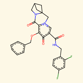 O=C(NCc1ccc(F)cc1F)c1cn2c(c(OCc3ccccc3)c1=O)C(=O)N1CC3CC1(C3)C2